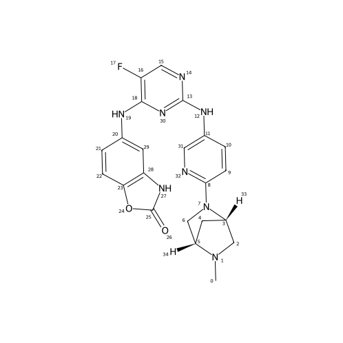 CN1C[C@@H]2C[C@H]1CN2c1ccc(Nc2ncc(F)c(Nc3ccc4oc(=O)[nH]c4c3)n2)cn1